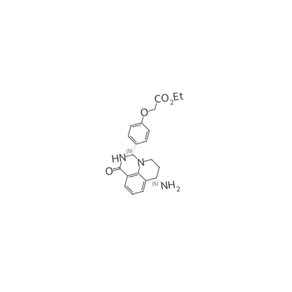 CCOC(=O)COc1ccc([C@H]2NC(=O)c3cccc4c3N2CC[C@@H]4N)cc1